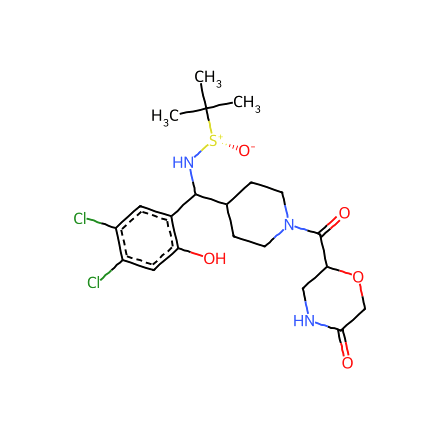 CC(C)(C)[S@+]([O-])NC(c1cc(Cl)c(Cl)cc1O)C1CCN(C(=O)C2CNC(=O)CO2)CC1